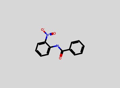 O=C([N]c1ccccc1[N+](=O)[O-])c1ccccc1